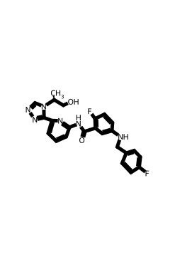 C[C@H](CO)n1cnnc1-c1cccc(NC(=O)c2cc(NCc3ccc(F)cc3)ccc2F)n1